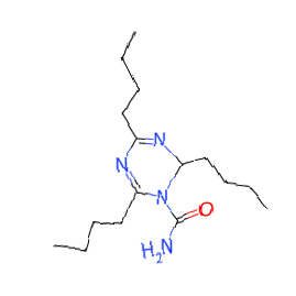 CCCCC1=NC(CCCC)N(C(N)=O)C(CCCC)=N1